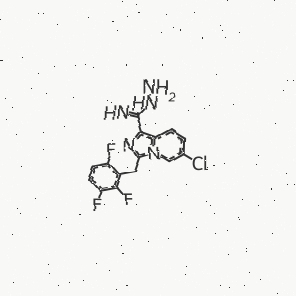 N=C(NN)c1nc(Cc2c(F)ccc(F)c2F)n2cc(Cl)ccc12